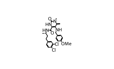 C=C1C(NCc2ccc(OC)cc2)=C(C(=O)N[C@H](C)CCc2ccc(Cl)c(Cl)c2)NC(=O)N1C